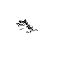 COCCN(CCOC)C(=O)c1cccc(NC(=O)NCC(=O)N(C)c2ccc(Cl)c(COc3cccn4c(Cl)c(C)nc34)c2Cl)c1.Cl